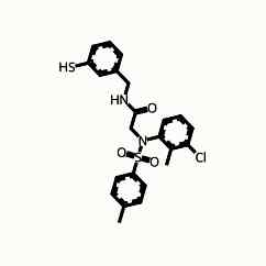 Cc1ccc(S(=O)(=O)N(CC(=O)NCc2cccc(S)c2)c2cccc(Cl)c2C)cc1